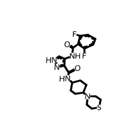 O=C(NC1CCC(N2CCSCC2)CC1)c1n[nH]cc1NC(=O)c1c(F)cccc1F